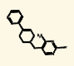 CC(C)c1ncc(CN2CC=C(c3cccnc3)CC2)c(N)n1